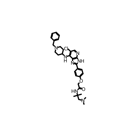 CN(C)CC(C)(C)NC(=O)COc1ccc(-c2nc3c(NC4CCN(Cc5ccccc5)CC4)c(Cl)cnc3[nH]2)cc1